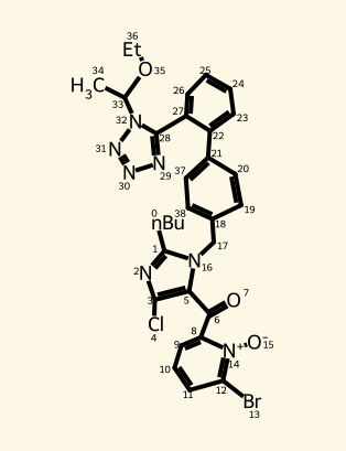 CCCCc1nc(Cl)c(C(=O)c2cccc(Br)[n+]2[O-])n1Cc1ccc(-c2ccccc2-c2nnnn2C(C)OCC)cc1